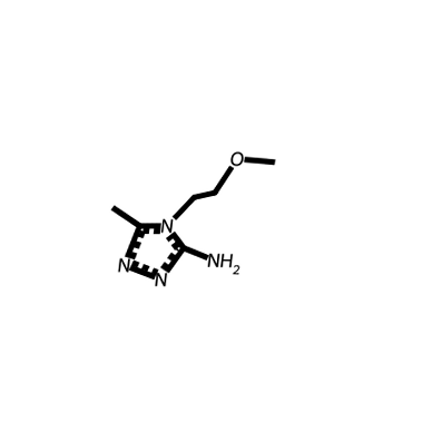 COCCn1c(C)nnc1N